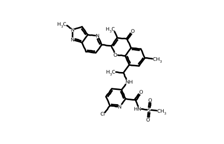 Cc1cc(C(C)Nc2ccc(Cl)nc2C(=O)NS(C)(=O)=O)c2oc(-c3ccc4nn(C)cc4n3)c(C)c(=O)c2c1